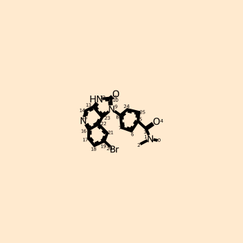 CN(C)C(=O)c1ccc(-n2c(=O)[nH]c3cnc4ccc(Br)cc4c32)cc1